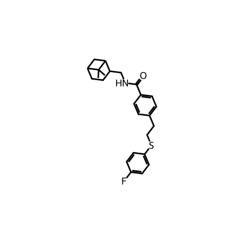 CC1(C)C2CCC(CNC(=O)c3ccc(CCSc4ccc(F)cc4)cc3)C1C2